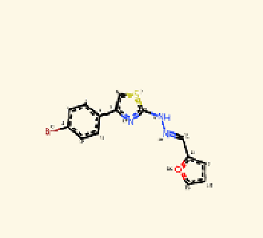 Brc1ccc(-c2csc(NN=Cc3ccco3)n2)cc1